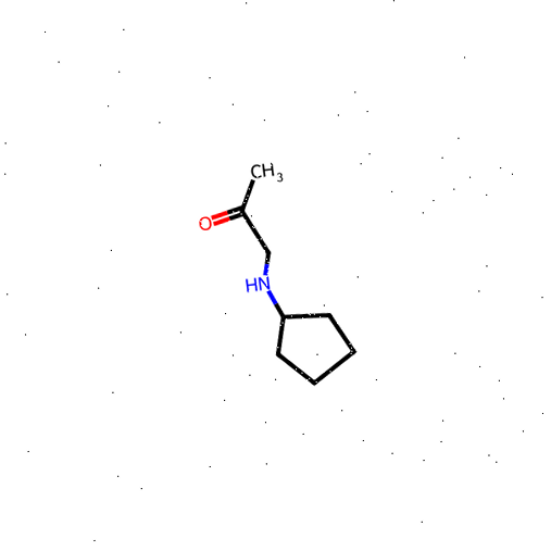 CC(=O)CNC1CCCC1